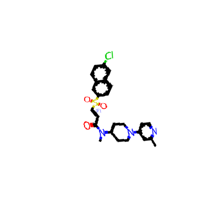 Cc1cc(N2CCC(N(C)C(=O)/C=C/S(=O)(=O)c3ccc4cc(Cl)ccc4c3)CC2)ccn1